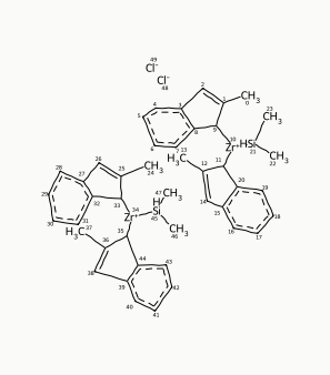 CC1=Cc2ccccc2[CH]1[Zr+]([CH]1C(C)=Cc2ccccc21)[SiH](C)C.CC1=Cc2ccccc2[CH]1[Zr+]([CH]1C(C)=Cc2ccccc21)[SiH](C)C.[Cl-].[Cl-]